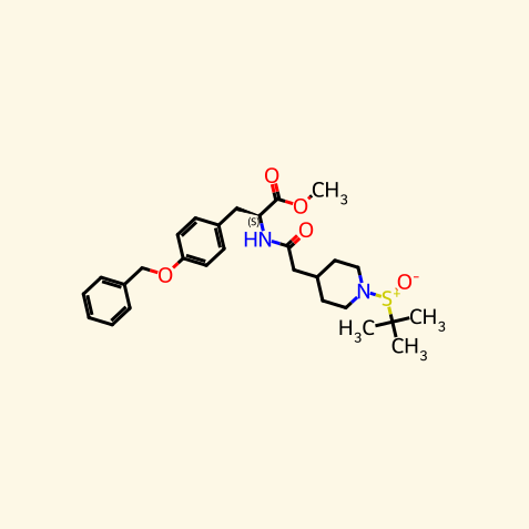 COC(=O)[C@H](Cc1ccc(OCc2ccccc2)cc1)NC(=O)CC1CCN([S+]([O-])C(C)(C)C)CC1